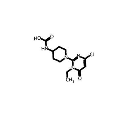 CCn1c(N2CCC(NC(=O)O)CC2)nc(Cl)cc1=O